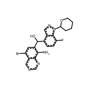 Nc1c(C(O)c2ccc(F)c3c2cnn3C2CCCCO2)cc(Br)c2cncnc12